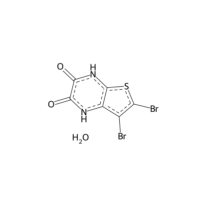 O.O=c1[nH]c2sc(Br)c(Br)c2[nH]c1=O